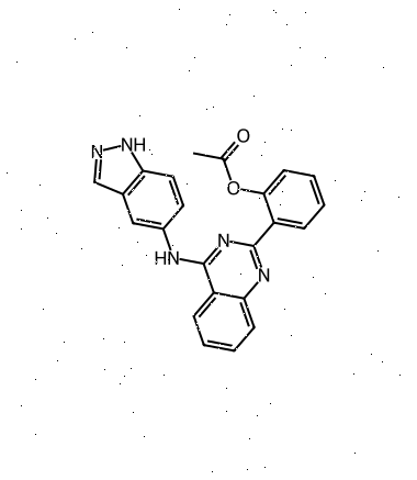 CC(=O)Oc1ccccc1-c1nc(Nc2ccc3[nH]ncc3c2)c2ccccc2n1